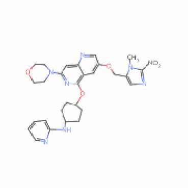 Cn1c(COc2cnc3cc(N4CCOCC4)nc(OC4CCC(Nc5ccccn5)CC4)c3c2)cnc1[N+](=O)[O-]